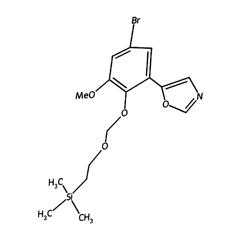 COc1cc(Br)cc(-c2cnco2)c1OCOCC[Si](C)(C)C